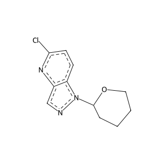 Clc1ccc2c(cnn2C2CCCCO2)n1